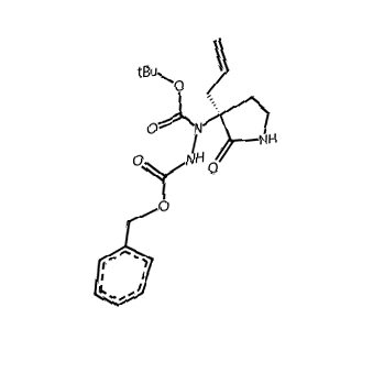 C=CC[C@]1(N(NC(=O)OCc2ccccc2)C(=O)OC(C)(C)C)CCNC1=O